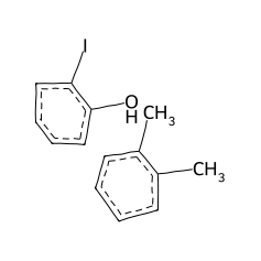 Cc1ccccc1C.Oc1ccccc1I